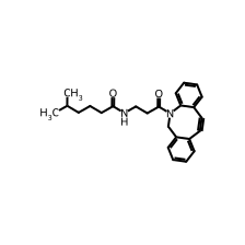 CC(C)CCCC(=O)NCCC(=O)N1Cc2ccccc2C#Cc2ccccc21